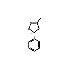 CC1=NO[C@@H](c2ccccc2)C1